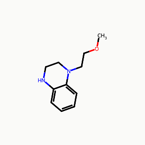 COCCN1CCNc2ccccc21